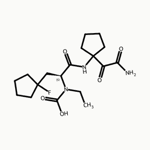 CCN(C(=O)O)[C@@H](CC1(F)CCCC1)C(=O)NC1(C(=O)C(N)=O)CCCC1